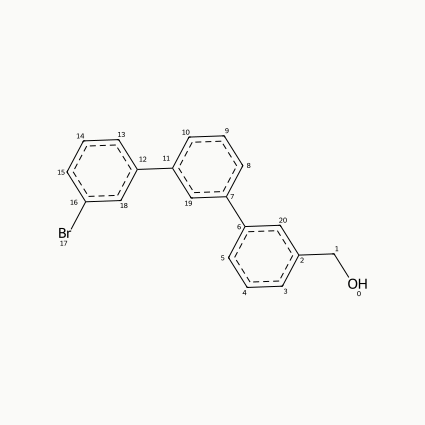 OCc1cccc(-c2cccc(-c3cccc(Br)c3)c2)c1